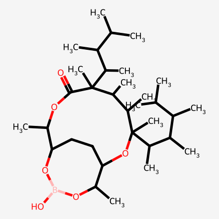 CC(C)C(C)C(C)C(C)C1(C)OC2CCC(OB(O)OC2C)C(C)OC(=O)C(C)(C(C)C(C)C(C)C)C(C)C1C